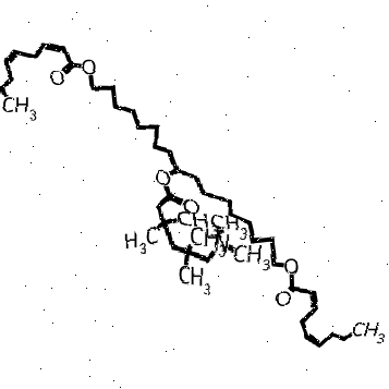 CCC/C=C\C/C=C\C(=O)OCCCCCCCCC(CCCCCCCCOC(=O)/C=C\C/C=C\CCC)OC(=O)CC(C)(C)CC(C)(C)CN(C)C